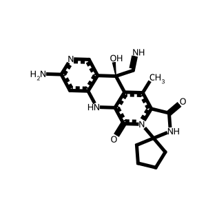 Cc1c2c(c(=O)n3c1C(=O)NC31CCCC1)Nc1cc(N)ncc1[C@]2(O)C=N